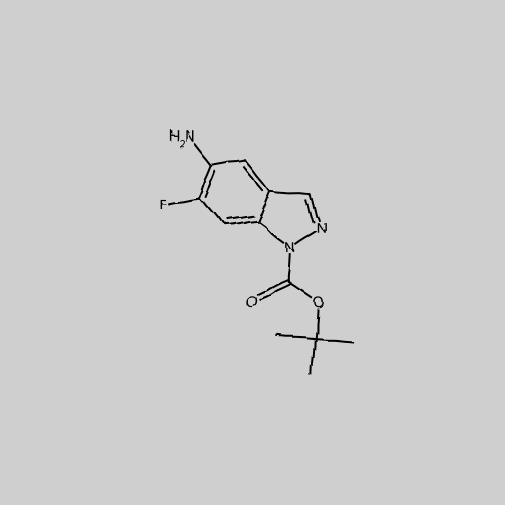 CC(C)(C)OC(=O)n1ncc2cc(N)c(F)cc21